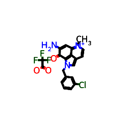 C[n+]1ccc2cn(Cc3cccc(Cl)c3)c3c2c1C=C(N)C3=O.O=C([O-])C(F)(F)F